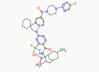 CC1CC2CC(C)C(NC(=O)c3cnc(N4CC5(CCCCC5)c5cc(C(=O)N6CCN(c7ncc(F)cn7)CC6)ccc54)nc3C(F)(F)F)(C(=O)O)C(C1)C2